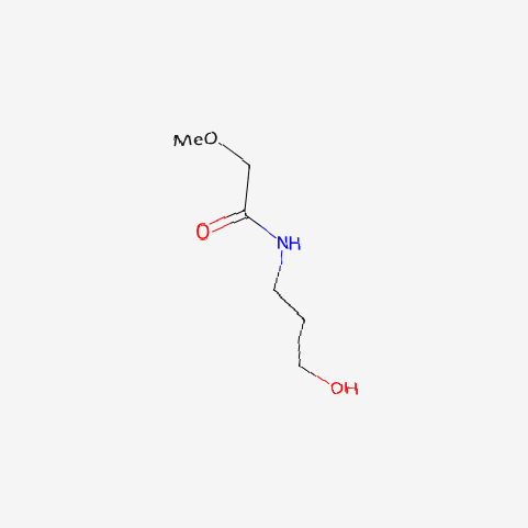 COCC(=O)NCCCO